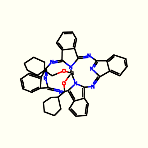 c1ccc2c(c1)C1=NC/2=N\c2c3ccccc3c3n2[Si](OCC2CCCCC2)(OCC2CCCCC2)n2/c(c4ccccc4/c2=N/C2=NC(=N\3)/c3ccccc32)=N\1